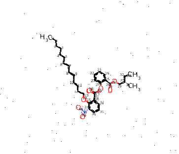 CCCCCCCCCCCCCCOc1c(C(=O)Oc2ccccc2C(=O)OC[C@@H](C)CC)cccc1[N+](=O)[O-]